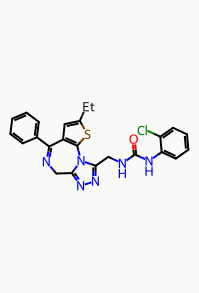 CCc1cc2c(s1)-n1c(nnc1CNC(=O)Nc1ccccc1Cl)CN=C2c1ccccc1